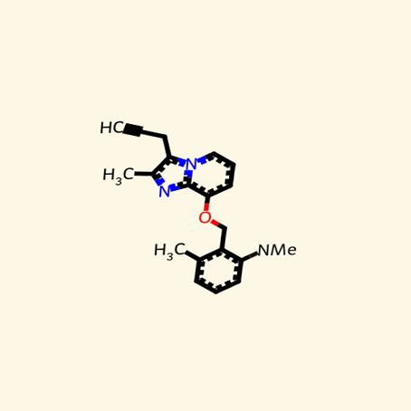 C#CCc1c(C)nc2c(OCc3c(C)cccc3NC)cccn12